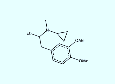 CCC(Cc1ccc(OC)c(OC)c1)N(C)C1CC1